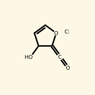 O=C=C1OC=CC1O.[C]